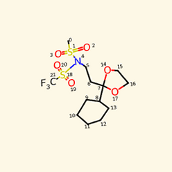 CS(=O)(=O)N(CCC1(C2CCCCC2)OCCO1)S(=O)(=O)C(F)(F)F